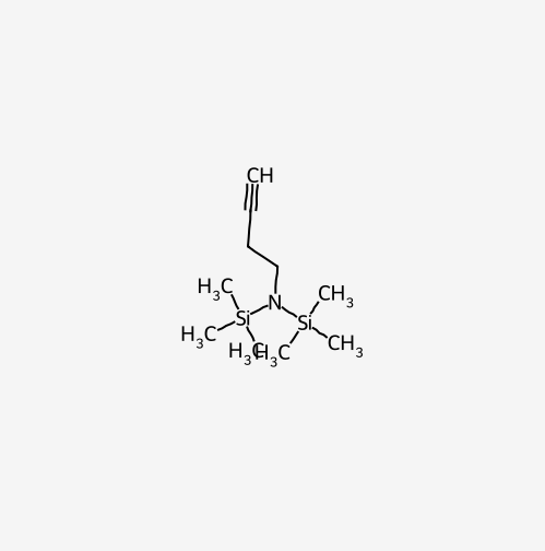 C#CCCN([Si](C)(C)C)[Si](C)(C)C